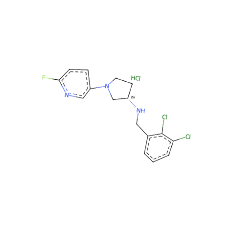 Cl.Fc1ccc(N2CC[C@H](NCc3cccc(Cl)c3Cl)C2)cn1